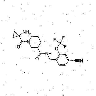 N#Cc1ccc(CNC(=O)C2CCCN(C(=O)C3(N)CC3)C2)c(OC(F)(F)F)c1